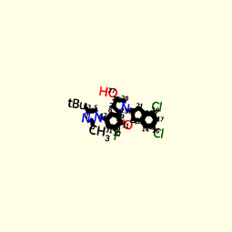 Cc1nc(C(C)(C)C)cn1-c1ccc(O[C@H]2c3cc(Cl)cc(Cl)c3C[C@@H]2N2CC[C@@H](O)C2)c(F)c1